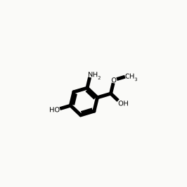 COC(O)c1ccc(O)cc1N